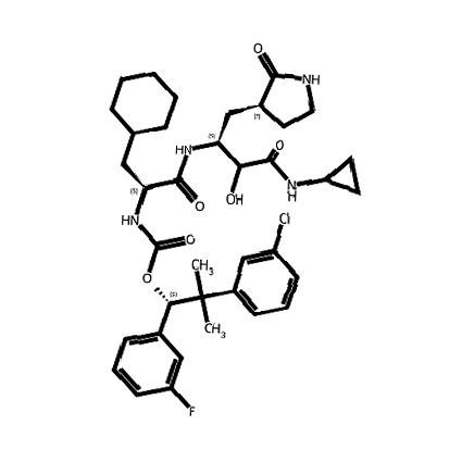 CC(C)(c1cccc(Cl)c1)[C@@H](OC(=O)N[C@@H](CC1CCCCC1)C(=O)N[C@@H](C[C@@H]1CCNC1=O)C(O)C(=O)NC1CC1)c1cccc(F)c1